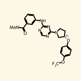 CNC(=O)c1cccc(Nc2ncnc(N3CC[C@H](Oc4ccc(OC(F)(F)F)cc4)C3)n2)c1